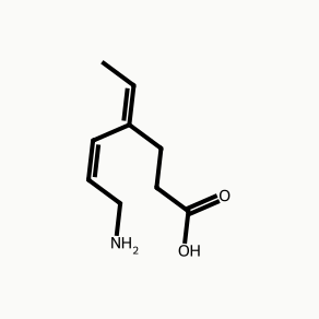 C/C=C(\C=C/CN)CCC(=O)O